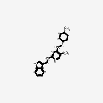 N[C@H]1CC[C@H](CNc2nc(NCc3csc4ccccc34)ncc2[N+](=O)[O-])CC1